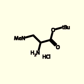 CNCC(N)C(=O)OC(C)(C)C.Cl